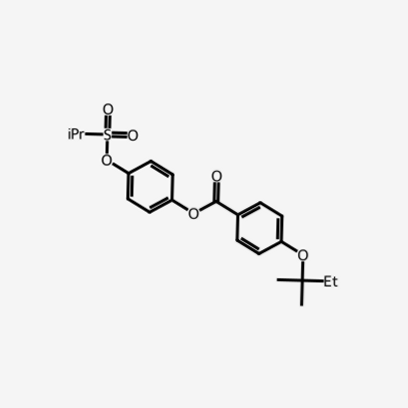 CCC(C)(C)Oc1ccc(C(=O)Oc2ccc(OS(=O)(=O)C(C)C)cc2)cc1